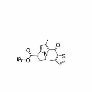 Cc1ccsc1C(=O)c1c(C)cc2n1CCC2C(=O)OC(C)C